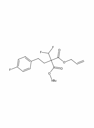 C=CCOC(=O)C(CCc1ccc(F)cc1)(C(=O)OCCCC)C(F)F